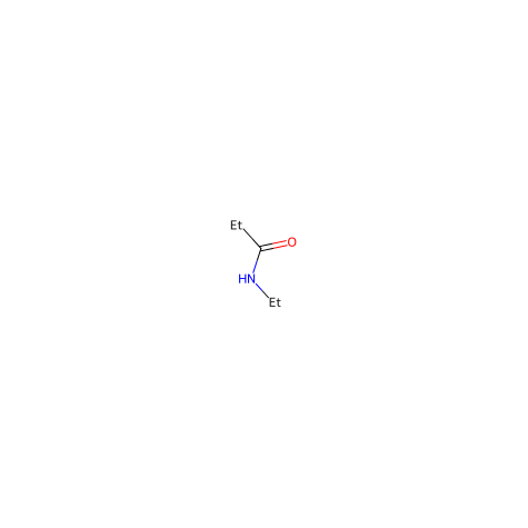 CCNC(=O)CC